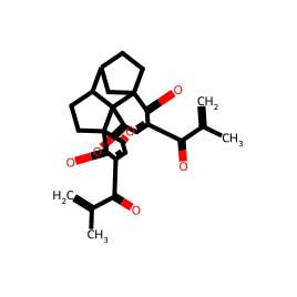 C=C(C)C(=O)C1=CC(=O)C23C(CCC24C(=O)C=C(C(=O)C(=C)C)C4=O)C2CCC3(C2)C1=O